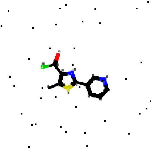 Cc1sc(-c2cccnc2)nc1C(=O)Cl